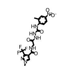 Cc1cc([N+](=O)[O-])ccc1NC(=O)NNC(=O)CNC(=O)c1cn(C)nc1C(F)(F)F